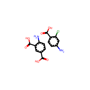 Nc1ccc(C(=O)O)c(Cl)c1.Nc1ccc(C(=O)O)cc1C(=O)O